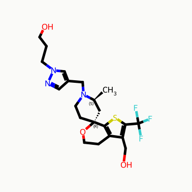 C[C@H]1C[C@@]2(CCN1Cc1cnn(CCCO)c1)OCCc1c2sc(C(F)(F)F)c1CO